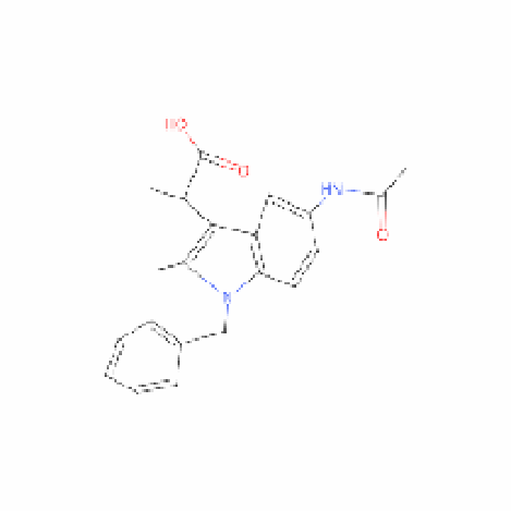 CC(=O)Nc1ccc2c(c1)c(C(C)C(=O)O)c(C)n2Cc1ccccc1